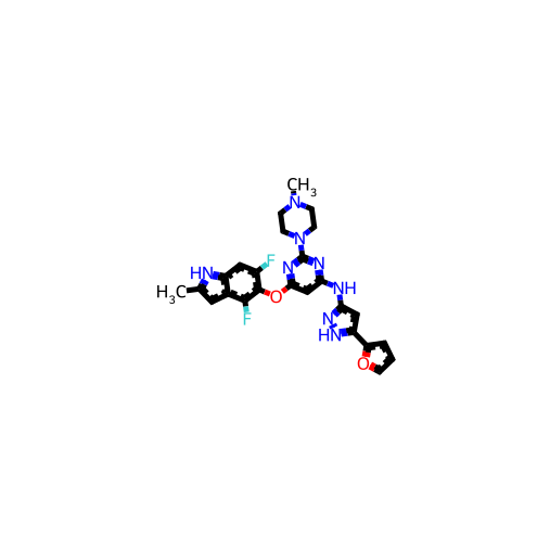 Cc1cc2c(F)c(Oc3cc(Nc4cc(-c5ccco5)[nH]n4)nc(N4CCN(C)CC4)n3)c(F)cc2[nH]1